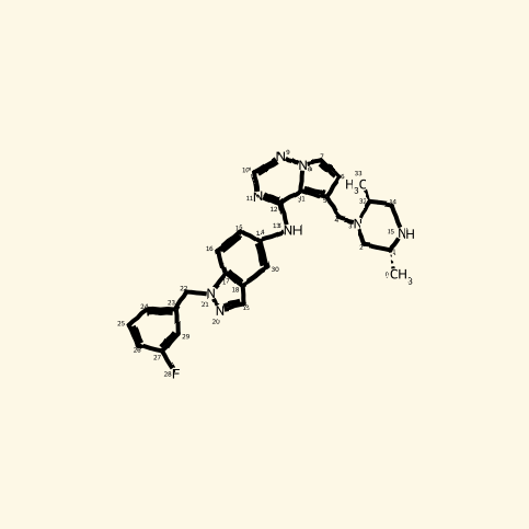 C[C@@H]1CN(Cc2ccn3ncnc(Nc4ccc5c(cnn5Cc5cccc(F)c5)c4)c23)[C@@H](C)CN1